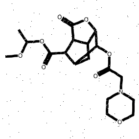 COC(C)OC(=O)C1C2CC3C(OC(=O)C31)C2OC(=O)CN1CCOCC1